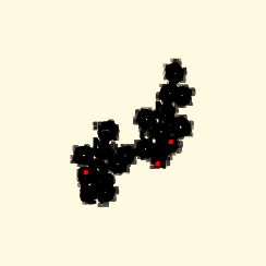 c1ccc(-c2nc(-c3ccccc3-c3ccc4c(c3)C3(c5ccccc5O4)c4ccccc4-c4ccccc43)cc(-c3cccc4cc(-c5ccc6c(c5)Oc5ccc(-c7ccccc7-c7cc(-c8ccc(-c9ccccc9)c9ccccc89)nc(-c8ccccc8)n7)cc5C65c6ccccc6-c6ccccc65)ccc34)n2)cc1